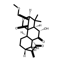 C=C1C(=O)[C@@]23C(=O)[C@@H](O)[C@@H]4C(C)(C)[C@@H]5OCC4(C(=O)/C5=C/OC)[C@@H]2CC[C@@H]1[C@H]3O